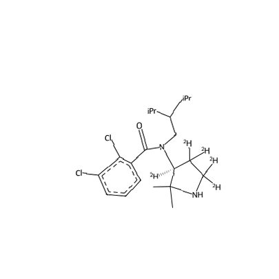 [2H]C1([2H])NC(C)(C)[C@@]([2H])(N(CC(C(C)C)C(C)C)C(=O)c2cccc(Cl)c2Cl)C1([2H])[2H]